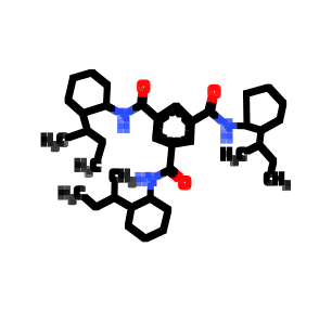 CCC(C)C1CCCCC1NC(=O)c1cc(C(=O)NC2CCCCC2C(C)CC)cc(C(=O)NC2CCCCC2C(C)CC)c1